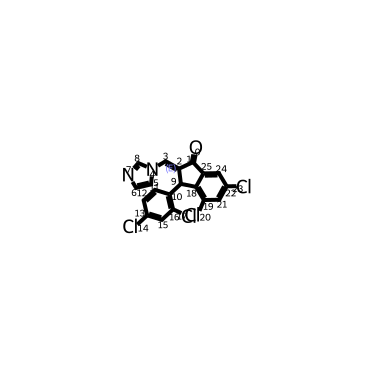 O=C1/C(=C/n2ccnc2)C(c2ccc(Cl)cc2Cl)c2c(Cl)cc(Cl)cc21